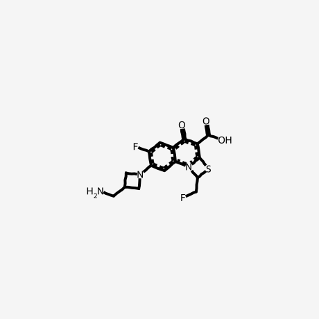 NCC1CN(c2cc3c(cc2F)c(=O)c(C(=O)O)c2n3C(CF)S2)C1